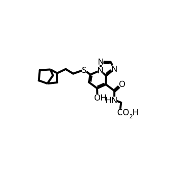 O=C(O)CNC(=O)c1c(O)cc(SCCC2CC3CCC2C3)n2ncnc12